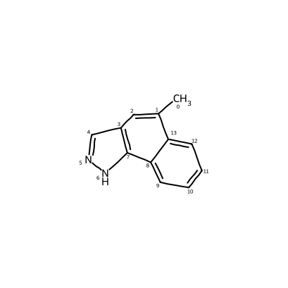 Cc1cc2cn[nH]c2c2ccccc12